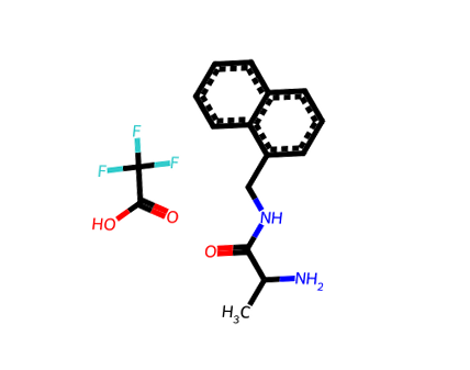 CC(N)C(=O)NCc1cccc2ccccc12.O=C(O)C(F)(F)F